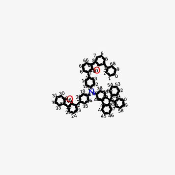 c1ccc(-c2cccc3c2oc2c(-c4ccc(N(c5ccc(-c6cccc7c6oc6ccccc67)cc5)c5ccc6c(c5)-c5ccccc5C6(c5ccccc5)c5ccccc5)cc4)cccc23)cc1